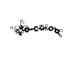 Cc1sc2c(c1C)C(c1ccc(C#CC3CCN(c4ccc(C(=O)N[C@H]5CC[C@H](Oc6ccc(C#N)c(Cl)c6)CC5)nn4)CC3)nc1)=NC1(CC1)c1nnc(C)n1-2